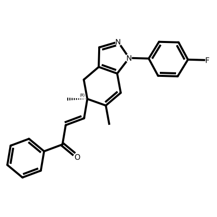 CC1=Cc2c(cnn2-c2ccc(F)cc2)C[C@]1(C)C=CC(=O)c1ccccc1